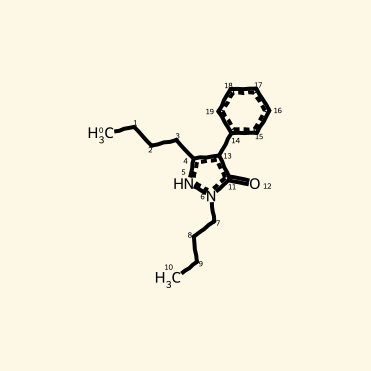 CCCCc1[nH]n(CCCC)c(=O)c1-c1ccccc1